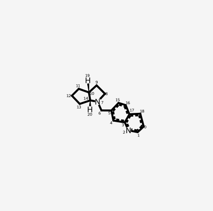 c1cnc2cc(CN3CC[C@H]4CCC[C@H]43)ccc2c1